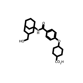 O=C(NC12CCCC(CC(CO)C1)C2)c1ccc(OC2CCC(C(=O)O)CC2)cc1